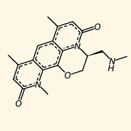 CNC[C@H]1COc2c3c(cc4c(C)cc(=O)n1c24)c(C)cc(=O)n3C